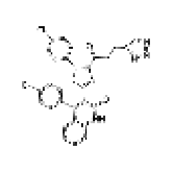 O=C(CCn1cnnn1)N1N=C(c2c(-c3ccc(Cl)cc3)c3ccccc3[nH]c2=O)C[C@H]1c1ccc(Cl)cc1